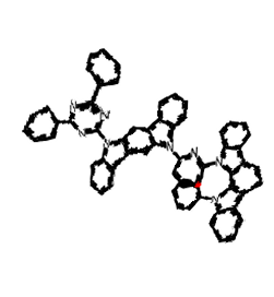 c1ccc(-c2nc(-c3ccccc3)nc(-n3c4ccccc4c4cc5c(cc43)c3ccccc3n5-c3cccc(-n4c5ccccc5c5ccc6c7ccccc7n(-c7ccccc7)c6c54)n3)n2)cc1